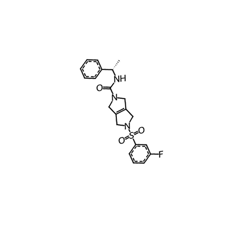 C[C@H](NC(=O)N1CC2=C(C1)CN(S(=O)(=O)c1cccc(F)c1)C2)c1ccccc1